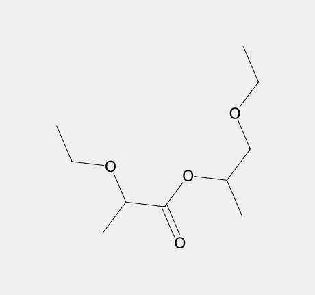 CCOCC(C)OC(=O)C(C)OCC